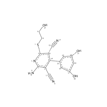 N#Cc1c(N)nc(SCCO)c(C#N)c1-c1cc(O)cc(O)c1